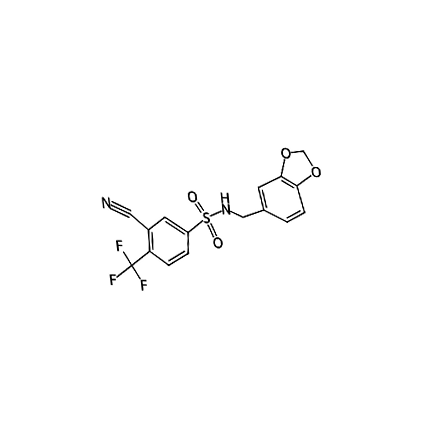 N#Cc1cc(S(=O)(=O)NCc2ccc3c(c2)OCO3)ccc1C(F)(F)F